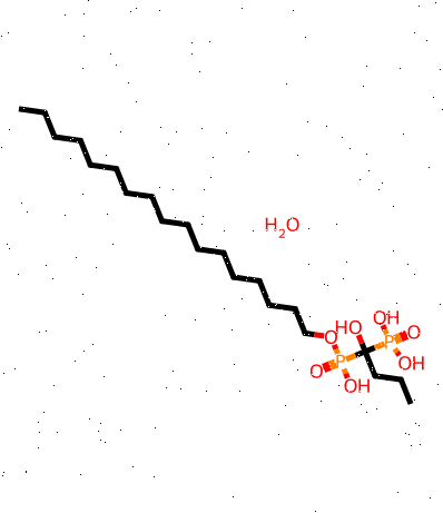 CCCCCCCCCCCCCCCCCOP(=O)(O)C(O)(CCC)P(=O)(O)O.O